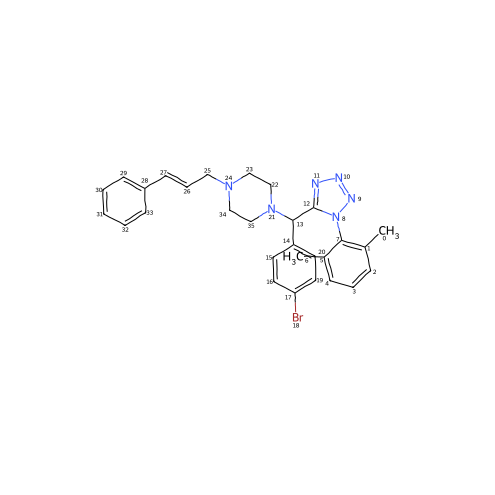 Cc1cccc(C)c1-n1nnnc1C(c1ccc(Br)cc1)N1CCN(CC=Cc2ccccc2)CC1